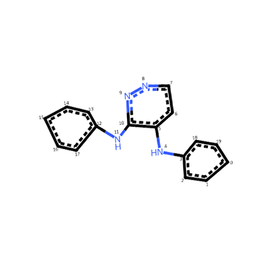 c1ccc(Nc2ccnnc2Nc2ccccc2)cc1